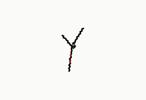 CCCCCCCCCCCCCCC[n+]1ccn(CCCCCCCCCCCC)c1CCCCCCCCC